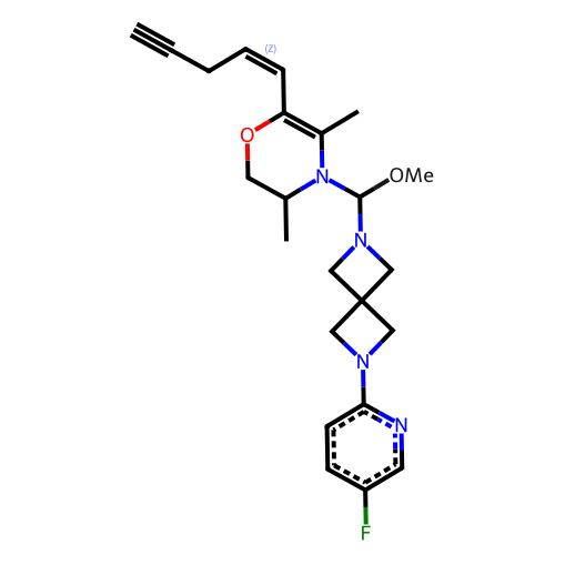 C#CC/C=C\C1=C(C)N(C(OC)N2CC3(CN(c4ccc(F)cn4)C3)C2)C(C)CO1